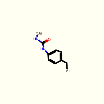 CC(=O)Cc1ccc(NC(=O)NC(C)(C)C)cc1